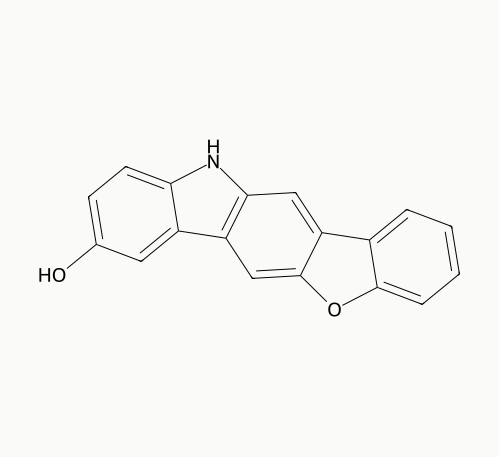 Oc1ccc2[nH]c3cc4c(cc3c2c1)oc1ccccc14